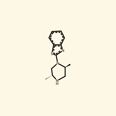 C[C@@H]1CN(c2nc3ccccc3s2)[C@@H](C)CN1